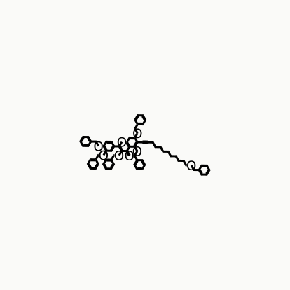 O=c1c(OCc2ccccc2)c(-c2ccc(OCc3ccccc3)c(OCc3ccccc3)c2)oc2cc(OCc3ccccc3)c(C#CCCCCCCCCCCOCc3ccccc3)c(OCc3ccccc3)c12